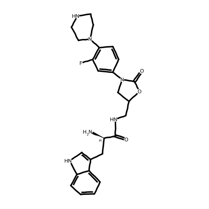 N[C@H](Cc1c[nH]c2ccccc12)C(=O)NCC1CN(c2ccc(N3CCNCC3)c(F)c2)C(=O)O1